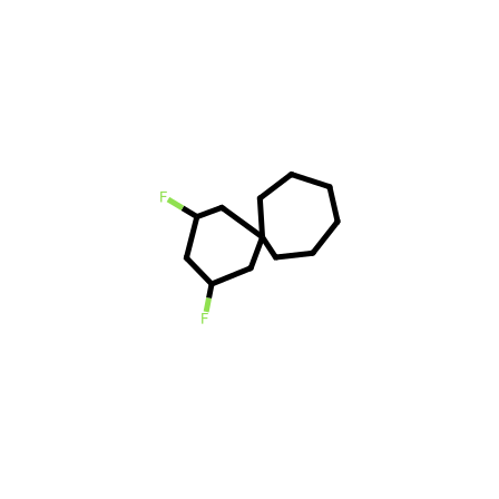 FC1CC(F)CC2(CCCCCC2)C1